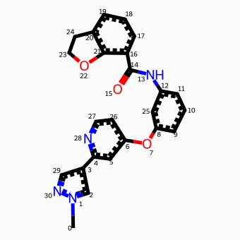 Cn1cc(-c2cc(Oc3cccc(NC(=O)c4cccc5c4OCC5)c3)ccn2)cn1